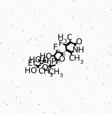 CCCC(C)(C[C@H]1O[C@@H](c2c(C)[nH]c(=O)c(C)c2F)[C@@H](F)C1O)OP(=O)(O)C(C)(O)CC